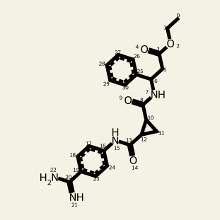 CCOC(=O)CC(NC(=O)C1CC1C(=O)Nc1ccc(C(=N)N)cc1)c1ccccc1